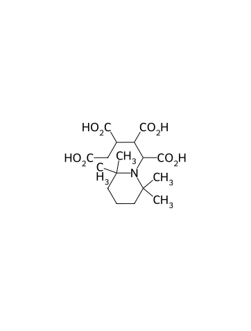 CC1(C)CCCC(C)(C)N1C(C(=O)O)C(C(=O)O)C(CC(=O)O)C(=O)O